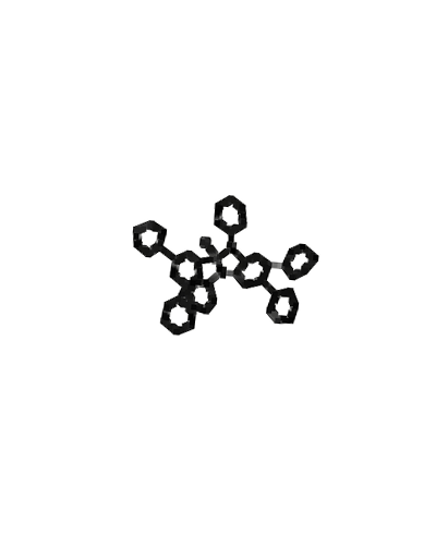 O=P1(c2cc(-c3ccccc3)cc(-c3ccccc3)c2)N(c2ccccc2)c2cc(-c3ccccc3)c(-c3ccccc3)cc2N1c1ccccc1